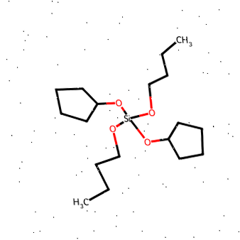 CCCCO[Si](OCCCC)(OC1CCCC1)OC1CCCC1